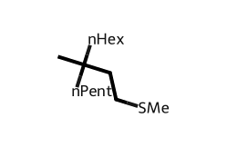 CCCCCCC(C)(CCCCC)CCSC